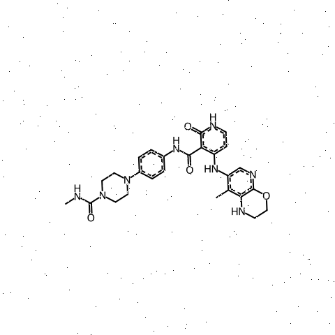 CNC(=O)N1CCN(c2ccc(NC(=O)c3c(Nc4cnc5c(c4C)NCCO5)cc[nH]c3=O)cc2)CC1